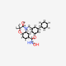 CC1(C)Oc2ccc(C(=O)NO)cc2N(Cc2cccc(-c3ccccc3)c2)C1=O